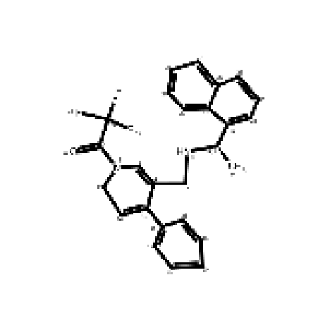 C[C@@H](NCC1=CN(C(=O)C(F)(F)F)CC=C1c1ccccc1)c1cccc2ccccc12